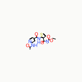 CCOC(=O)N(C)C(=O)c1ccsc1NC(=O)c1ccnc(NC(C)=O)c1